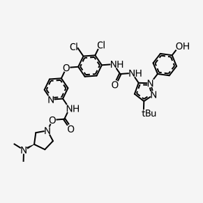 CN(C)[C@@H]1CCN(OC(=O)Nc2cc(Oc3ccc(NC(=O)Nc4cc(C(C)(C)C)nn4-c4ccc(O)cc4)c(Cl)c3Cl)ccn2)C1